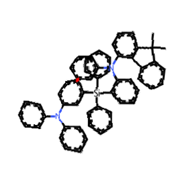 CC1(C)c2ccccc2-c2c(N(c3ccccc3)c3ccccc3[Si](c3ccccc3)(c3ccccc3)c3cccc(N(c4ccccc4)c4ccccc4)c3)cccc21